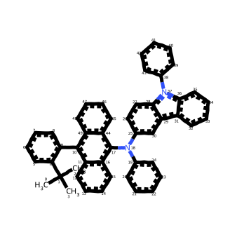 CC(C)(C)c1ccccc1-c1c2ccccc2c(N(c2ccccc2)c2ccc3c(c2)c2ccccc2n3-c2ccccc2)c2ccccc12